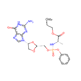 COCCOC(=O)[C@H](C)N[P@](=O)(OC[C@@H]1OC[C@H](n2cnc3c(=O)[nH]c(N)nc32)O1)Oc1ccccc1